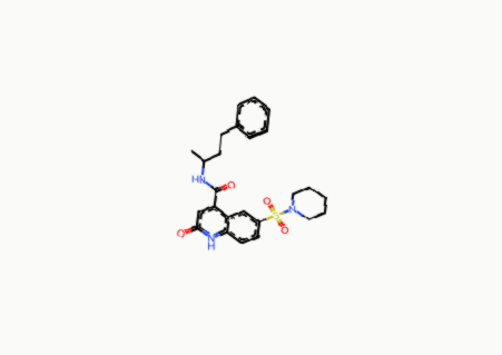 CC(CCc1ccccc1)NC(=O)c1cc(=O)[nH]c2ccc(S(=O)(=O)N3CCCCC3)cc12